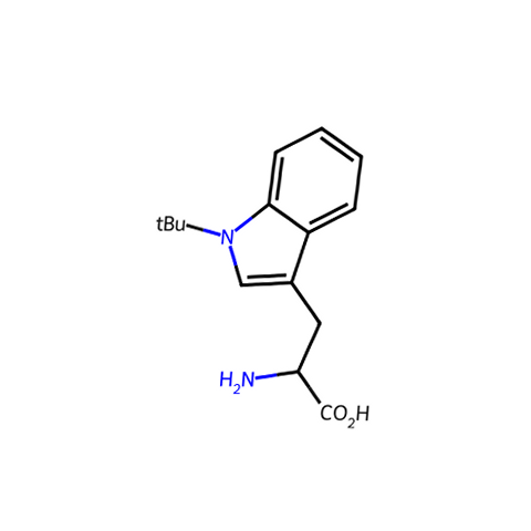 CC(C)(C)n1cc(CC(N)C(=O)O)c2ccccc21